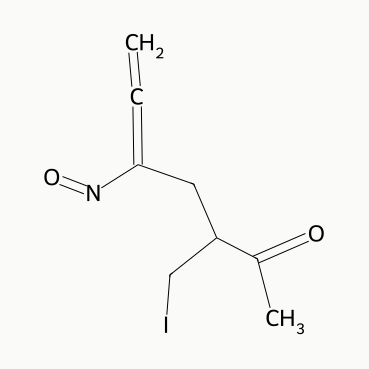 C=C=C(CC(CI)C(C)=O)N=O